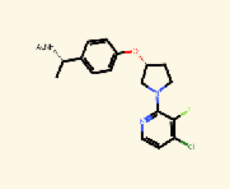 CC(=O)N[C@@H](C)c1ccc(O[C@@H]2CCN(c3nccc(Cl)c3F)C2)cc1